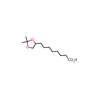 CC1(C)OCC(CCCCCCCC(=O)O)O1